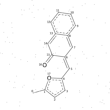 Cc1ccc(/C=C2/C=c3ccccc3=CC2=O)o1